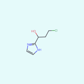 OC(CCCl)c1ncc[nH]1